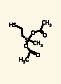 CC(=O)O[Si](C)(CCS)OC(C)=O